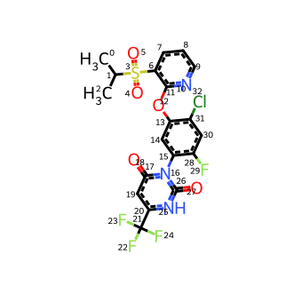 CC(C)S(=O)(=O)c1cccnc1Oc1cc(-n2c(=O)cc(C(F)(F)F)[nH]c2=O)c(F)cc1Cl